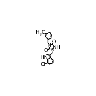 Cc1cccc(CN2C(=O)N[C@H](Cc3c[nH]c4c(Cl)cccc34)C2=O)c1